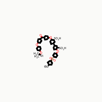 CCC(C)(C)Oc1ccc(Oc2ccc(C(=O)c3ccc(Oc4ccc(-c5ccc(Oc6ccc(S(=O)(=O)c7ccc(C(C)(C)C)cc7)cc6)c(S(=O)(=O)O)c5)cc4S(=O)(=O)O)cc3)cc2)cc1